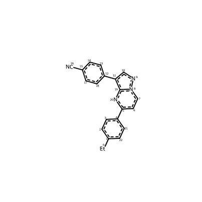 CCc1ccc(-c2ccn3ncc(-c4ccc(C#N)cc4)c3n2)cc1